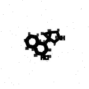 Cl.c1ccc2c(C34CNCC3C4)cccc2c1